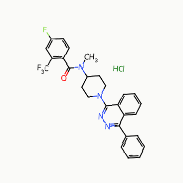 CN(C(=O)c1ccc(F)cc1C(F)(F)F)C1CCN(c2nnc(-c3ccccc3)c3ccccc23)CC1.Cl